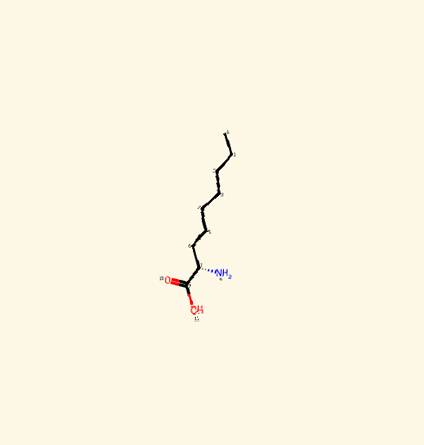 CCCCCCC[C@H](N)C(=O)O